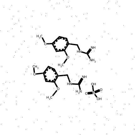 COc1ccc(CNC(=N)N)c(OC)c1.COc1ccc(CNC(=N)N)c(OC)c1.O=S(=O)(O)O